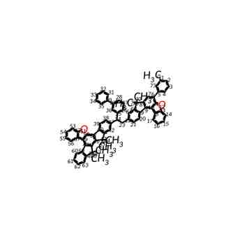 Cc1cccc(-c2cc3c(c4c2oc2ccccc24)-c2ccc(CC(c4cccc(-c5ccccc5)c4)c4ccc5c(c4)C(C)(C)c4c6c(c7c(oc8ccccc87)c4-5)-c4ccccc4C6(C)C)cc2C3(C)C)c1